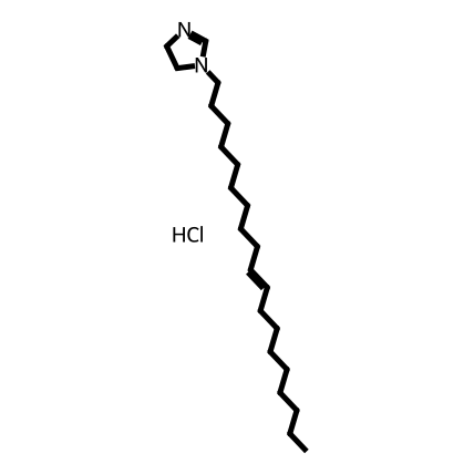 CCCCCCCCC=CCCCCCCCCCN1C=NCC1.Cl